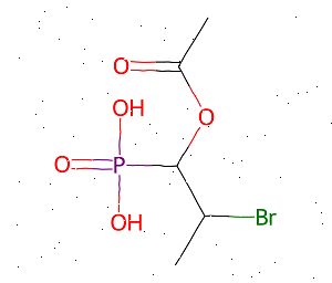 CC(=O)OC(C(C)Br)P(=O)(O)O